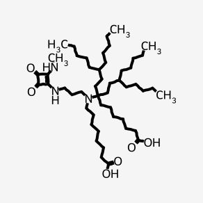 CCCCCC(CCCCC)CCC(CCCCCCC(=O)O)(CCC(CCCCC)CCCCC)N(CCCCCCCC(=O)O)CCCNc1c(NC)c(=O)c1=O